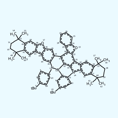 CC(C)(C)c1ccc(N2B3c4cc(C(C)(C)C)ccc4-n4c5cc6c(cc5c5c7oc8ccccc8c7c(c3c54)-c3cc4oc5cc7c(cc5c4cc32)C(C)(C)CCC7(C)C)C(C)(C)CCC6(C)C)cc1